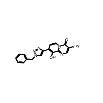 CCCc1cnc2c(O)c(-c3cn(Cc4ccccc4)nn3)ccn2c1=O